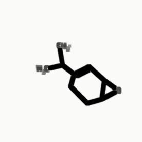 [CH2]C(C)C1=CC2OC2CC1